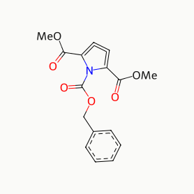 COC(=O)C1=C=C=C(C(=O)OC)N1C(=O)OCc1ccccc1